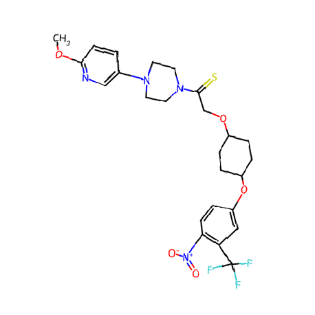 COc1ccc(N2CCN(C(=S)COC3CCC(Oc4ccc([N+](=O)[O-])c(C(F)(F)F)c4)CC3)CC2)cn1